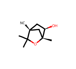 CC1(C)O[C@]2(C)C[C@@]1(C#N)C[C@H]2O